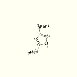 [CH2]CCCCc1cc(CCCCCC)on1